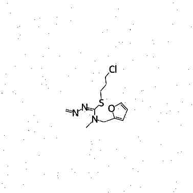 C=N/N=C(/SCCCCl)N(C)Cc1ccco1